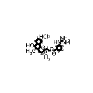 Cc1c2c(c3ccccc3c1O)OC(C)(CCOC(=O)c1cccc(NC(=N)N)c1)CC2.Cl